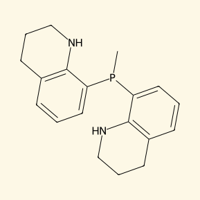 CP(c1cccc2c1NCCC2)c1cccc2c1NCCC2